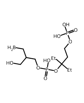 BCC(CO)COP(=O)(O)OC(CC)(CC)CCOP(=O)(O)O